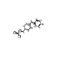 O=C(Cl)OCC1CCN(Cc2ccccc2)CC1